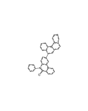 O=c1c2ccccc2c2cc(-c3cc4ccc5ccccc5c4c4ccccc34)ccc2n1-c1ccccc1